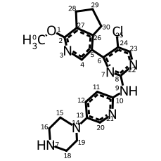 COc1ncc(-c2nc(Nc3ccc(N4CCNCC4)cn3)ncc2Cl)c2c1CCC2